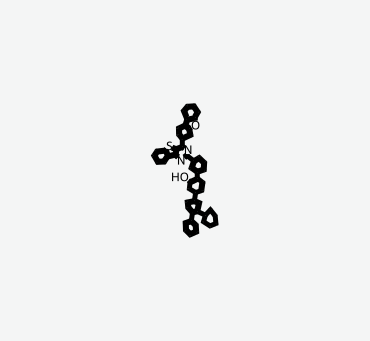 OC1=C(c2cccc(-c3nc(-c4ccc5c(c4)oc4ccccc45)c4sc5ccccc5c4n3)c2)C=CC(c2ccc(-c3ccccc3)c(C3CCCCC3)c2)C1